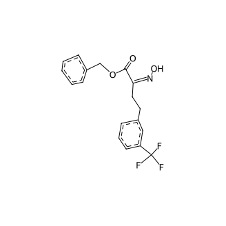 O=C(OCc1ccccc1)/C(CCc1cccc(C(F)(F)F)c1)=N\O